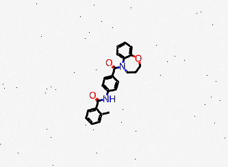 Cc1ccccc1C(=O)Nc1ccc(C(=O)N2CCCOc3ccccc32)cc1